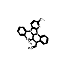 C=CC1c2ccccc2N2c3nc(C(F)(F)F)ccc3N(c3ccccc3C)C2C1C